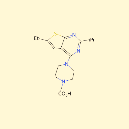 CCc1cc2c(N3CCN(C(=O)O)CC3)nc(C(C)C)nc2s1